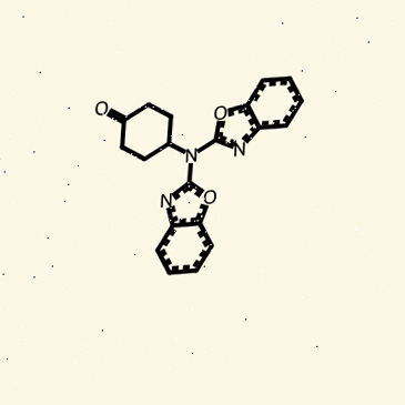 O=C1CCC(N(c2nc3ccccc3o2)c2nc3ccccc3o2)CC1